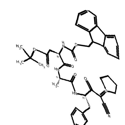 C[C@H](NC(=O)[C@@H](CC(=O)OC(C)(C)C)NC(=O)OCC1c2ccccc2-c2ccccc21)C(=O)N[C@@H](Cc1ccccc1)C(=O)C(C#N)=S1CCCC1